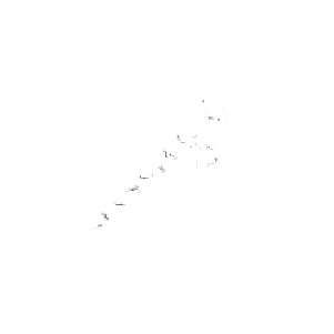 C[C@@H](OP)C1C[C@H](OP)C=C(C(=O)OP(#P)P=PP=PP=PP=PP=PP)O1